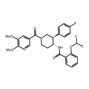 COc1cc(C(=O)N2CC[C@@H](NC(=O)c3ccccc3OC(F)F)[C@H](c3ccc(F)cc3)C2)cnc1OC